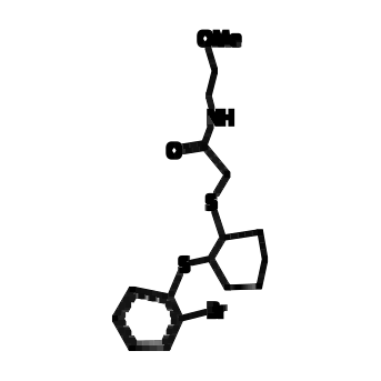 COCCNC(=O)CSC1CCCCC1Sc1ccccc1Br